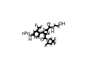 CCCNc1cc(C(F)F)c(-c2sc(C(=O)NCCO)nc2C(=O)N2CC(F)(F)CC2C)cn1